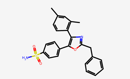 Cc1ccc(-c2nc(Cc3ccccc3)oc2-c2ccc(S(N)(=O)=O)cc2)c(C)c1